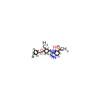 Cc1cc(Nc2ncnc3ccc(C(C)O)cc23)ccc1OCc1cccc(F)c1